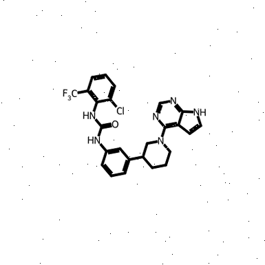 O=C(Nc1cccc(C2CCCN(c3ncnc4[nH]ccc34)C2)c1)Nc1c(Cl)cccc1C(F)(F)F